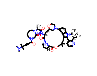 CO[C@@H](C)c1ncccc1-c1c2c3cc(ccc3n1CC(F)(F)F)N1CCO[C@@H](C[C@H](NC(=O)C(C(C)C)N3CCCCN(C(=O)C#CC(C)(C)N(C)C)CC3=O)C(=O)N3CCC[C@H](N3)C(=O)OCC(C)(C)C2)C1